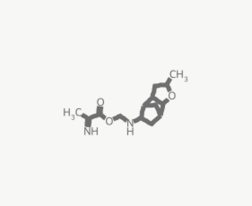 CC(=N)C(=O)OCNC1CC2CC1C1CC(C)OC21